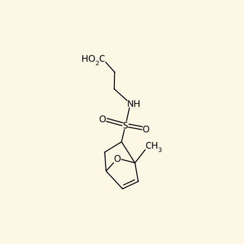 CC12C=CC(CC1S(=O)(=O)NCCC(=O)O)O2